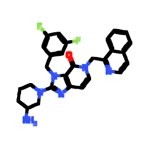 NC1CCCN(c2nc3ccn(Cc4nccc5ccccc45)c(=O)c3n2Cc2cc(F)cc(F)c2)C1